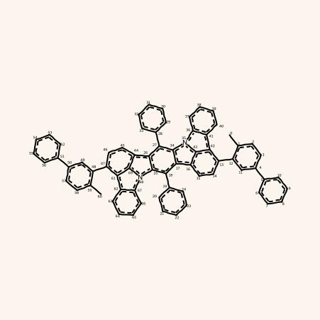 Cc1ccc(-c2ccccc2)cc1-c1ccc2c3c(-c4ccccc4)c4c(c(-c5ccccc5)c3n3c5ccccc5c1c23)c1ccc(-c2cc(-c3ccccc3)ccc2C)c2c3ccccc3n4c12